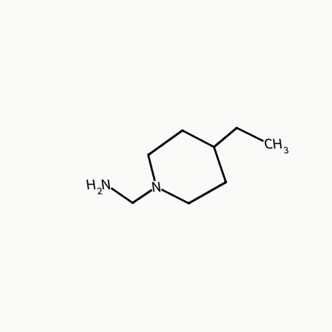 CCC1CCN(CN)CC1